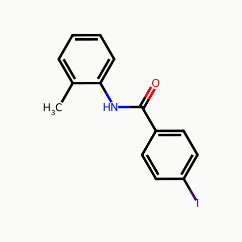 Cc1ccccc1NC(=O)c1ccc(I)cc1